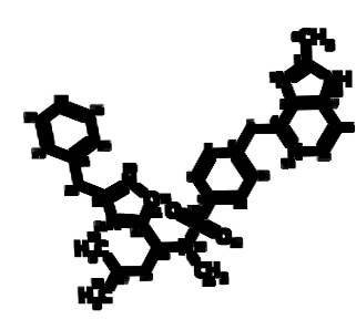 Cc1nc2c(Cc3ccc(S(=O)(=O)N(C)C(CC(C)C)c4nc(Cc5ccccc5)no4)cc3)nccc2[nH]1